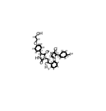 C[C@H](c1ccccc1)[C@@H](c1nc(Cl)c(-c2ccc(I)cc2)[nH]1)N1C(=O)NC(c2ccc(OCCO)cc2)C1=O